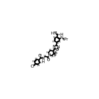 CC(C)Nc1cc(-c2noc(C3CCN(C(=O)CNC(=O)c4ccc(Cl)cc4)CC3(F)F)n2)ccc1C=N